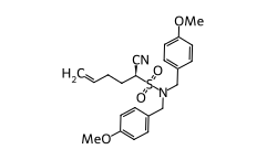 C=CCC[C@@H](C#N)S(=O)(=O)N(Cc1ccc(OC)cc1)Cc1ccc(OC)cc1